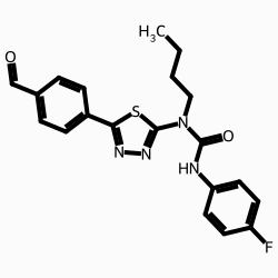 CCCCN(C(=O)Nc1ccc(F)cc1)c1nnc(-c2ccc(C=O)cc2)s1